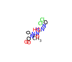 Cc1c(C(=O)NCC(O)CN2CCN(c3cccc(Cl)c3Cl)CC2)nc(-c2ccccc2)n1-c1ccc2c(c1)OCO2